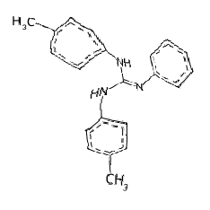 Cc1ccc(NC(=Nc2ccccc2)Nc2ccc(C)cc2)cc1